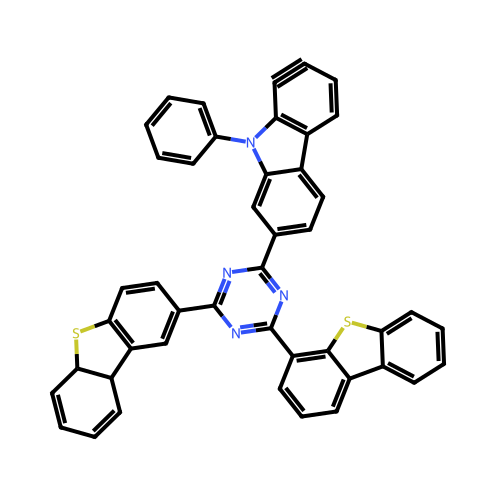 c1ccc2c3ccc(-c4nc(-c5ccc6c(c5)C5C=CC=CC5S6)nc(-c5cccc6c5sc5ccccc56)n4)cc3n(-c3ccccc3)c2c#1